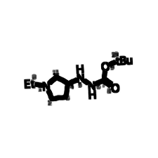 CCN1CCC(NNC(=O)OC(C)(C)C)C1